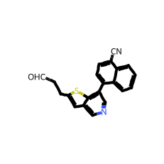 N#Cc1ccc(-c2cncc3cc(CCC=O)sc23)c2ccccc12